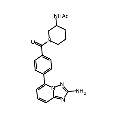 CC(=O)NC1CCCN(C(=O)c2ccc(-c3cccc4nc(N)nn34)cc2)C1